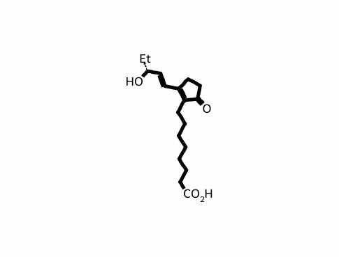 CC[C@@H](O)/C=C/C1=C(CCCCCCCC(=O)O)C(=O)CC1